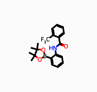 CC1(C)OB(c2ccccc2NC(=O)c2ccccc2C(F)(F)F)OC1(C)C